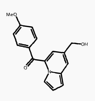 COc1ccc(C(=O)c2cc(CO)cc3cccn23)cc1